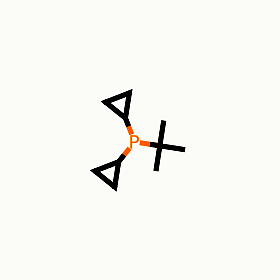 CC(C)(C)P(C1CC1)C1CC1